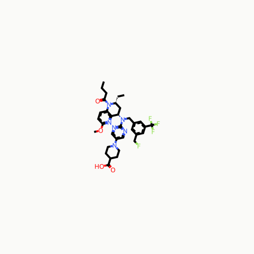 CCCC(=O)N1c2ccc(OC)nc2[C@@H](N(Cc2cc(CF)cc(C(F)(F)F)c2)c2ncc(N3CCC(C(=O)O)CC3)cn2)C[C@H]1CC